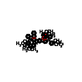 CC(C)(C)c1cccc(N(c2ccccc2-c2cccc3ccccc23)c2ccc3c4cc5c(cc4n4c6ccc(C(C)(C)C)cc6c2c34)c2ccc(N(c3cccc(C(C)(C)C)c3)c3ccccc3-c3cccc4ccccc34)c3c4cc(C(C)(C)C)ccc4n5c23)c1